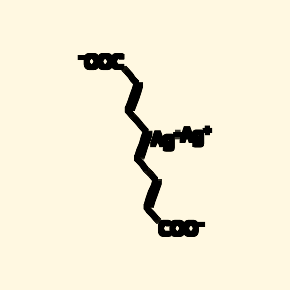 O=C([O-])C=CC=CC=CC(=O)[O-].[Ag+].[Ag+]